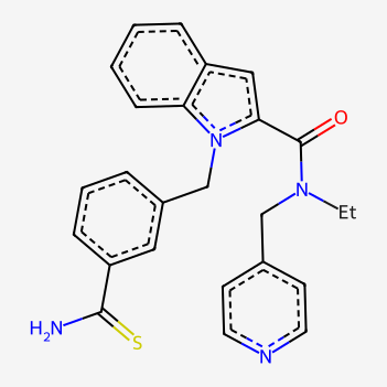 CCN(Cc1ccncc1)C(=O)c1cc2ccccc2n1Cc1cccc(C(N)=S)c1